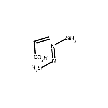 C=CC(=O)O.[SiH3]N=N[SiH3]